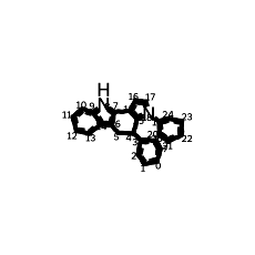 c1ccc(C2Cc3c([nH]c4ccccc34)-c3ccn(-c4ccccc4)c32)cc1